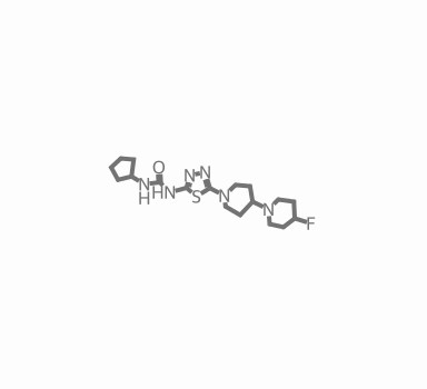 O=C(Nc1nnc(N2CCC(N3CCC(F)CC3)CC2)s1)NC1CCCC1